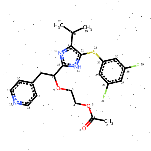 CC(=O)OCCOC(Cc1ccncc1)c1nc(C(C)C)c(Sc2cc(F)cc(F)c2)[nH]1